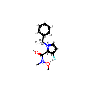 CON(C)C(=O)c1c(F)ccn1[C@H](C)c1ccccc1